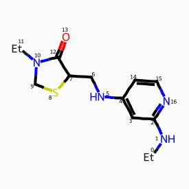 CCNc1cc(NCC2SCN(CC)C2=O)ccn1